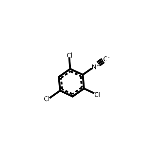 [C-]#[N+]c1c(Cl)cc(Cl)cc1Cl